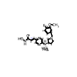 COc1cc(CN2CC[C@@H](Nc3cnc(/C=C/C(=O)NO)cn3)C2)ccc1F.Cl.Cl